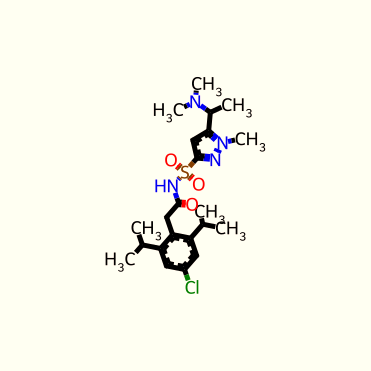 CC(C)c1cc(Cl)cc(C(C)C)c1CC(=O)NS(=O)(=O)c1cc(C(C)N(C)C)n(C)n1